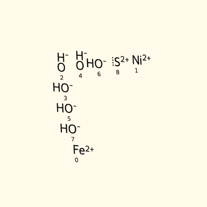 [Fe+2].[Ni+2].[OH-].[OH-].[OH-].[OH-].[OH-].[OH-].[S+2]